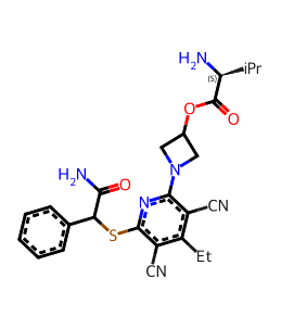 CCc1c(C#N)c(SC(C(N)=O)c2ccccc2)nc(N2CC(OC(=O)[C@@H](N)C(C)C)C2)c1C#N